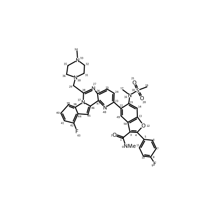 CNC(=O)c1c(-c2ccc(F)cc2)oc2cc(N(C)S(C)(=O)=O)c(-c3ccc4nc(CN5CCN(C)CC5)n5c6cccc(F)c6cc5c4n3)cc12